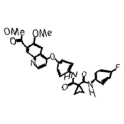 COC(=O)c1cc2nccc(Oc3ccc(NC(=O)C4(C(=O)Nc5ccc(F)cc5)CC4)cc3)c2cc1OC